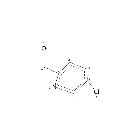 [O]Cc1ccc(Cl)cn1